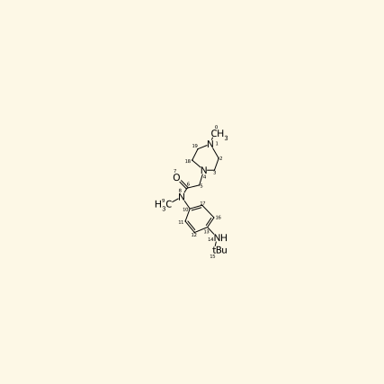 CN1CCN(CC(=O)N(C)c2ccc(NC(C)(C)C)cc2)CC1